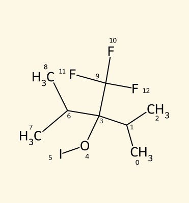 CC(C)C(OI)(C(C)C)C(F)(F)F